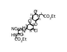 CCOC(=O)Cn1cc(Oc2c(Cl)cc(NN=C(C#N)C(=O)NC(=O)OCC)cc2Cl)ccc1=O